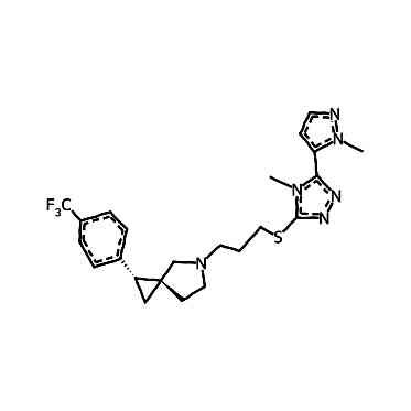 Cn1nccc1-c1nnc(SCCCN2CC[C@]3(C[C@@H]3c3ccc(C(F)(F)F)cc3)C2)n1C